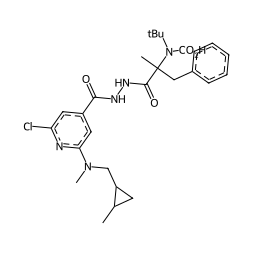 CC1CC1CN(C)c1cc(C(=O)NNC(=O)C(C)(Cc2ccccc2)N(C(=O)O)C(C)(C)C)cc(Cl)n1